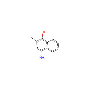 Cc1cc(N)c2ccccc2c1O